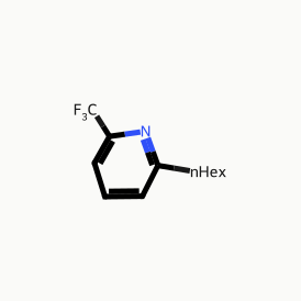 CCCCCCc1cccc(C(F)(F)F)n1